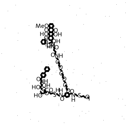 COc1cccc2c1C(=O)c1c(O)c3c(c(O)c1C2=O)C[C@@](O)(/C(CO)=N/NC(=O)CCC(=O)NCCOCCOCCOCCOCCOCCOc1cc(C(=O)NCCSCCCO[C@]2(C(=O)O)C[C@H](O)C[C@H]([C@H](O)[C@H](O)CNC(=O)c4ccc(-c5ccccc5)cc4)O2)ccc1C(=O)NCCSCCCOI)CC3O[C@@H]1CCC[C@@H](C)O1